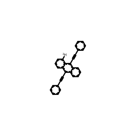 [2H]c1cccc2c(C#Cc3ccccc3)c3ccccc3c(C#Cc3ccccc3)c12